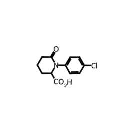 O=C(O)C1CCCC(=O)N1c1ccc(Cl)cc1